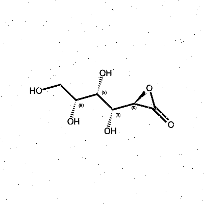 O=C1O[C@@H]1[C@H](O)[C@@H](O)[C@H](O)CO